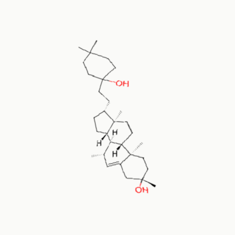 C[C@H]1C=C2C[C@@](C)(O)CC[C@]2(C)[C@H]2CC[C@]3(C)[C@@H](CCC4(O)CCC(C)(C)CC4)CC[C@H]3[C@H]12